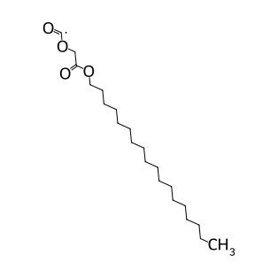 CCCCCCCCCCCCCCCCCCOC(=O)CO[C]=O